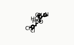 Cn1c(-c2ccncc2)cc(C(=O)NCCCc2ccc(Cl)c(Cl)c2)c(O)c1=O